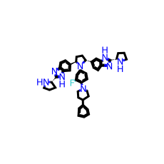 Fc1cc(N2[C@@H](c3ccc4nc([C@@H]5CCCN5)[nH]c4c3)CC[C@@H]2c2ccc3nc([C@@H]4CCCN4)[nH]c3c2)ccc1N1CCC(c2ccccc2)CC1